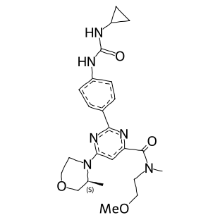 COCCN(C)C(=O)c1cc(N2CCOC[C@@H]2C)nc(-c2ccc(NC(=O)NC3CC3)cc2)n1